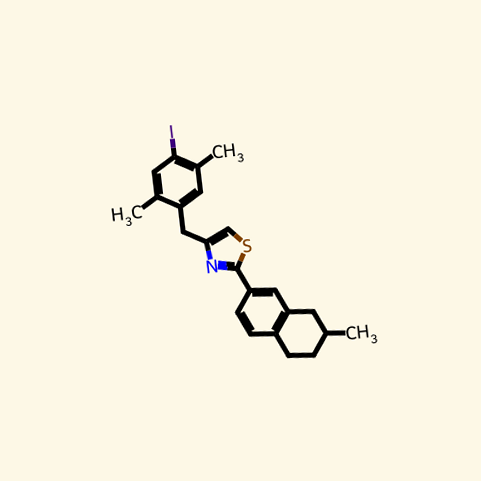 Cc1cc(Cc2csc(-c3ccc4c(c3)CC(C)CC4)n2)c(C)cc1I